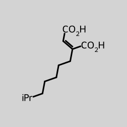 CC(C)CCCCC/C(=C/C(=O)O)C(=O)O